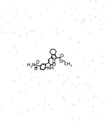 CCOC(=O)c1[nH]c(C=C2C(=O)Nc3ccc(S(N)(=O)=O)cc32)c2c1CCCC2